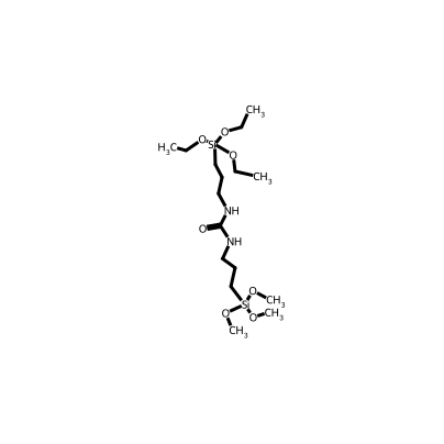 CCO[Si](CCCNC(=O)NCCC[Si](OC)(OC)OC)(OCC)OCC